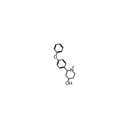 CN1CCC(O)CC1c1ccc(Oc2ccccc2)cc1